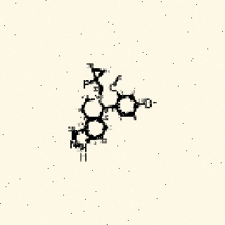 COc1cc(Br)ccc1C1c2ccc3[nH]ncc3c2CCN1CC1(F)CC1